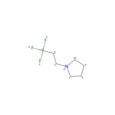 FC(F)(F)[CH]CN1CCCC1